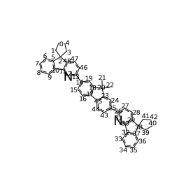 CCC1(CC)c2ccccc2-c2nc(-c3ccc4c(c3)C(C)(C)c3cc(-c5ccc6c(n5)-c5ccccc5C6(CC)CC)ccc3-4)ccc21